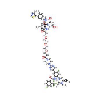 Cc1ncsc1-c1ccc(CNC(=O)[C@@H]2C[C@@H](O)CN2C(=O)[C@@H](NC(=O)CCOCCOCCOCCC(=O)N2CCN(c3ncc(-c4cc(NC(=O)c5ccc(F)cc5C(F)(F)F)c(N5C[C@@H](C)N(C)[C@@H](C)C5)cc4F)cn3)CC2)C(C)(C)C)cc1